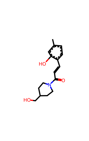 Cc1ccc(/C=C/C(=O)N2CCC(CO)CC2)c(O)c1